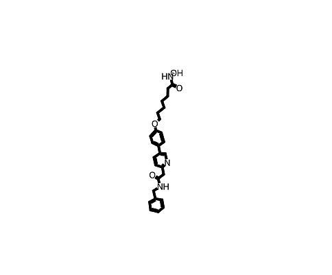 O=C(CCCCCCOc1ccc(-c2ccc(CC(=O)NCc3ccccc3)nc2)cc1)NO